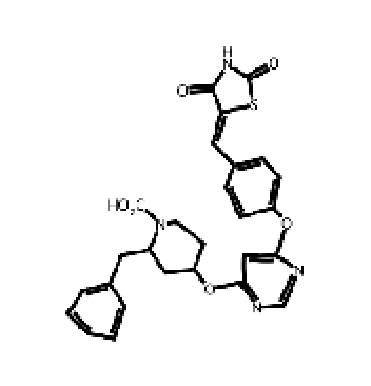 O=C1NC(=O)C(=Cc2ccc(Oc3cc(OC4CCN(C(=O)O)C(Cc5ccccc5)C4)ncn3)cc2)S1